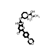 CN(C)C(O)N1CCCC(Oc2nc3nc(-c4ccc(N5CCOCC5)cc4)c(Cl)cc3[nH]2)CC1